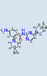 Nc1ccc(C(=O)Nc2nccc(N3CCC(F)(F)CC3)n2)c(N2CCC3(CC2)CC3)c1